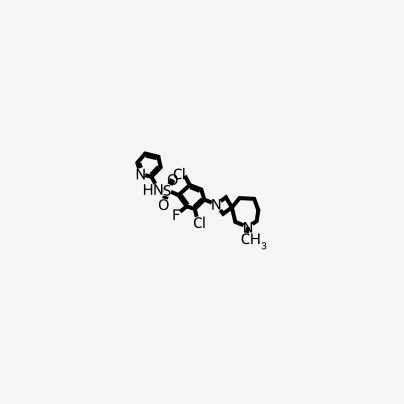 CN1CCCCC2(C1)CN(c1cc(Cl)c(S(=O)(=O)Nc3ccccn3)c(F)c1Cl)C2